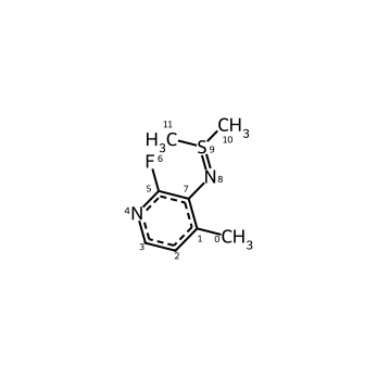 Cc1ccnc(F)c1N=S(C)C